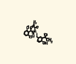 COC(=O)[C@H](CCc1ccc(O)c(C(C)=O)c1)NC(=O)c1c(Cl)cccc1Cl